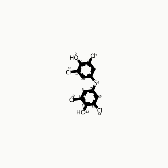 Oc1c(Cl)cc(Sc2cc(Cl)c(O)c(Cl)c2)cc1Cl